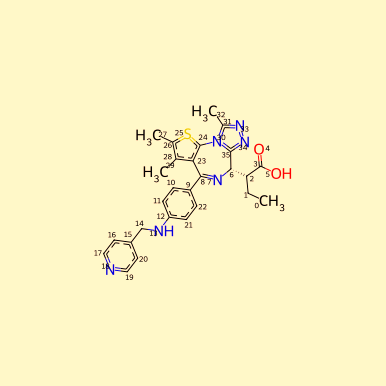 CCC(C(=O)O)[C@@H]1N=C(c2ccc(NCc3ccncc3)cc2)c2c(sc(C)c2C)-n2c(C)nnc21